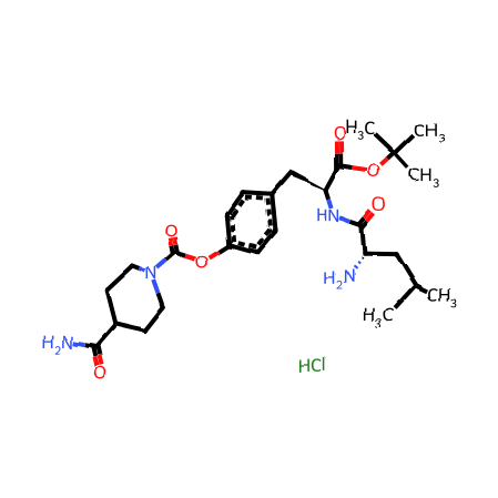 CC(C)C[C@H](N)C(=O)N[C@@H](Cc1ccc(OC(=O)N2CCC(C(N)=O)CC2)cc1)C(=O)OC(C)(C)C.Cl